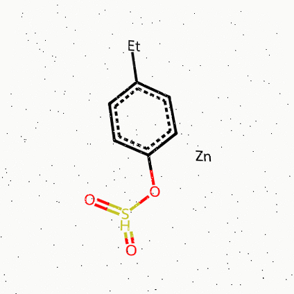 CCc1ccc(O[SH](=O)=O)cc1.[Zn]